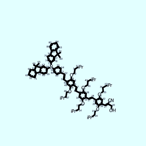 CC(C)CCOc1cc(/C=C/c2cc(OCCC(C)C)c(/C=C/c3cc(OCCC(C)C)c(/C=C(\C#N)CO)cc3OCCC(C)C)cc2OCCC(C)C)c(OCCC(C)C)cc1/C=C/c1ccc(N(c2ccc3c(c2)C(C)(C)c2ccccc2-3)c2ccc3c(c2)C(C)(C)c2ccccc2-3)cc1